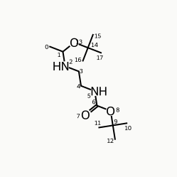 CC(NCCNC(=O)OC(C)(C)C)OC(C)(C)C